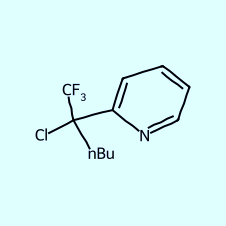 CCCCC(Cl)(c1ccccn1)C(F)(F)F